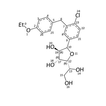 CCOc1ccc(Cc2cc(C3O[C@H](C(O)CO)[C@H](O)[C@H]3O)ccc2Cl)cc1